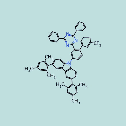 Cc1cc(C)c(-c2ccc3c(c2)c2cc(-c4c(C)cc(C)cc4C)ccc2n3-c2ccc(-c3cccc(C(F)(F)F)c3)c(-c3nc(-c4ccccc4)nc(-c4ccccc4)n3)c2)c(C)c1